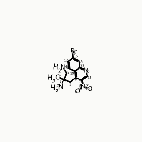 CC(N)(CN)Cc1c([N+](=O)[O-])cnc2cc(Br)ccc12